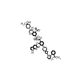 CC(C)c1ccccc1[C@H]1CCCN1C1CC2(CCN(c3ccc(C(=O)NS(=O)(=O)c4cc5c(c([N+](=O)[O-])c4)N[C@@H](C4CCC(C)(O)CC4)CO5)c(Oc4cc5cc[nH]c5nc4F)c3)CC2)C1